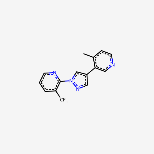 Cc1ccncc1-c1cnn(-c2ncccc2C(F)(F)F)c1